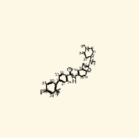 CN1CCC(N(C)c2nc3cc(NC(=O)c4ccc(-c5ccc(F)cc5F)cc4)ccc3o2)CC1